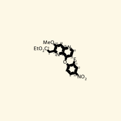 CCOC(=O)Cc1nc2c(Oc3ccc([N+](=O)[O-])cc3F)ccnc2cc1OC